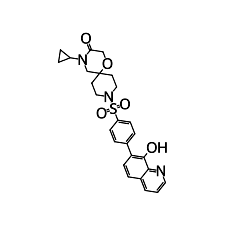 O=C1COC2(CCN(S(=O)(=O)c3ccc(-c4ccc5cccnc5c4O)cc3)CC2)CN1C1CC1